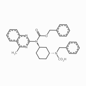 Cc1nc(N(C(=O)OCc2ccccc2)[C@@H]2CCC[C@@H](N(Cc3ccccc3)C(=O)O)C2)nc2ccccc12